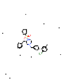 Cc1ccc(Cl)c(-c2ccc(CN3CCN(S(=O)(=O)c4ccccc4)C(Cc4ccccc4)C3)cc2)c1